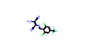 N#C/C(N)=C(C#N)\N=C\c1c(Cl)cc(C(F)(F)F)cc1Cl